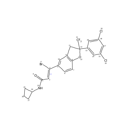 O=C(/C=C(\Br)c1ccc2c(c1)CC(c1cc(Cl)cc(Cl)c1)(C(F)(F)F)O2)NC1CCC1